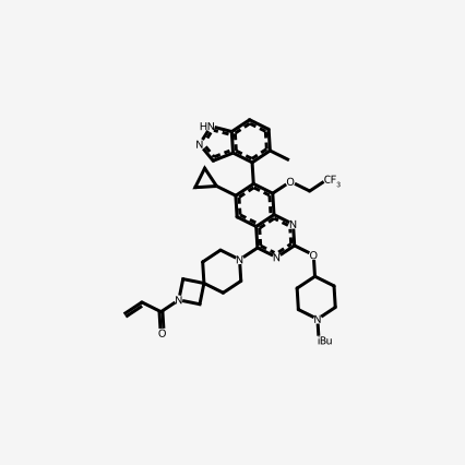 C=CC(=O)N1CC2(CCN(c3nc(OC4CCN(C(C)CC)CC4)nc4c(OCC(F)(F)F)c(-c5c(C)ccc6[nH]ncc56)c(C5CC5)cc34)CC2)C1